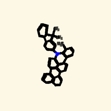 Cc1cccc(-c2ccc(-c3ccccc3)cc2)c1N(c1ccc(-c2ccccc2)cc1)c1ccc2c(c1)C(C)(C)c1ccccc1-2